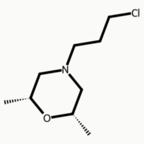 C[C@@H]1CN(CCCCl)C[C@H](C)O1